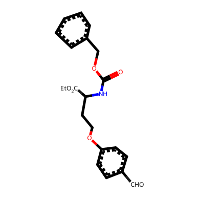 CCOC(=O)C(CCOc1ccc(C=O)cc1)NC(=O)OCc1ccccc1